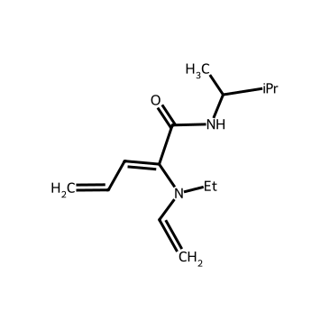 C=C/C=C(/C(=O)NC(C)C(C)C)N(C=C)CC